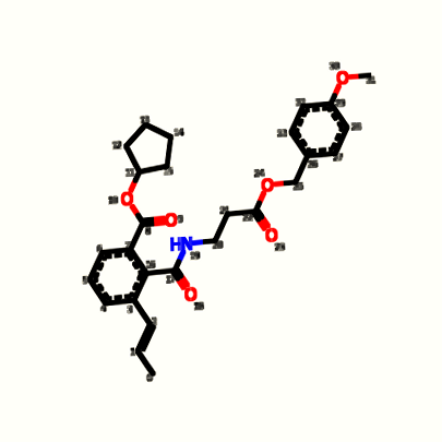 C/C=C/c1cccc(C(=O)OC2CCCC2)c1C(=O)NCCC(=O)OCc1ccc(OC)cc1